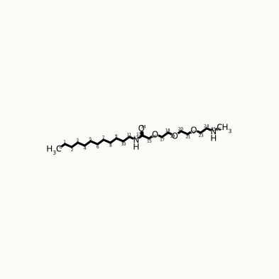 CCCCCCCCCCCCNC(=O)COCCOCCOCCNC